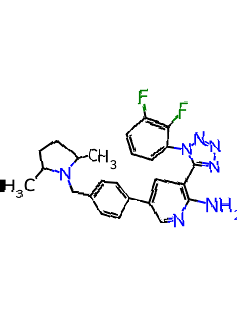 CC1CCC(C)N1Cc1ccc(-c2cnc(N)c(-c3nnnn3-c3cccc(F)c3F)c2)cc1